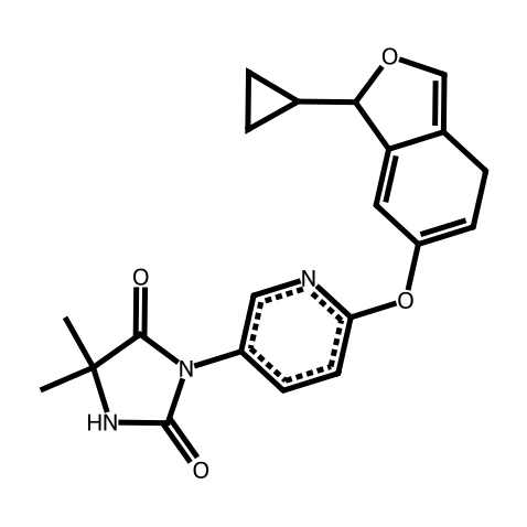 CC1(C)NC(=O)N(c2ccc(OC3=CCC4=COC(C5CC5)C4=C3)nc2)C1=O